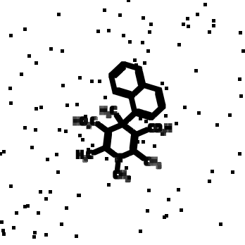 CC1=C(C(=O)O)C(C)(c2cccc3ccccc23)C(C(=O)O)=C(C)N1C